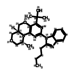 CCCCc1nc2ccccc2n1-c1nc2c(c(C(C)(C)O)n1)OC[C@@H]1COC[C@@H](C)N21